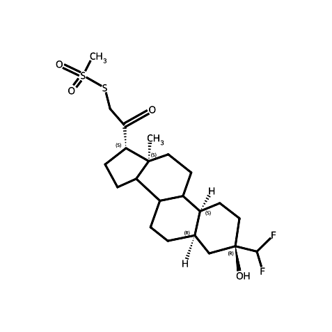 C[C@]12CCC3C(CC[C@@H]4C[C@@](O)(C(F)F)CC[C@H]34)C1CC[C@@H]2C(=O)CSS(C)(=O)=O